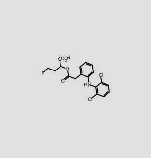 O=C(Cc1ccccc1Nc1c(Cl)cccc1Cl)OC(CCI)C(=O)O